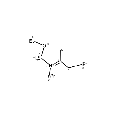 CCC[N+]([SiH2]OCC)=C(C)CC(C)C